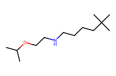 CC(C)OCCNCCCCC(C)(C)C